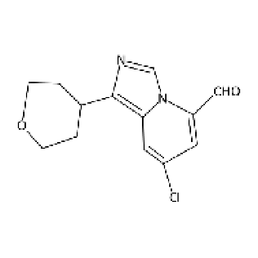 O=Cc1cc(Cl)cc2c(C3CCOCC3)ncn12